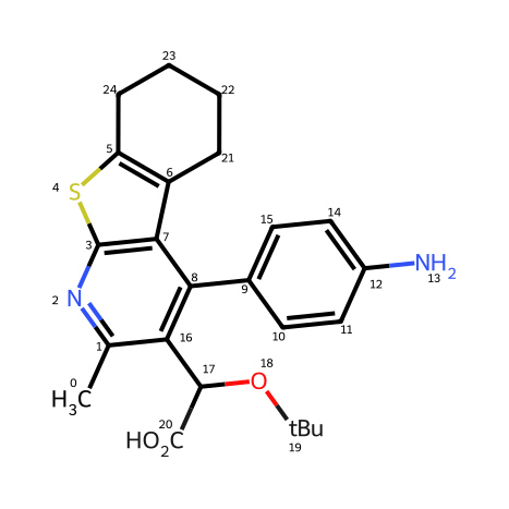 Cc1nc2sc3c(c2c(-c2ccc(N)cc2)c1C(OC(C)(C)C)C(=O)O)CCCC3